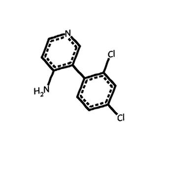 Nc1ccncc1-c1ccc(Cl)cc1Cl